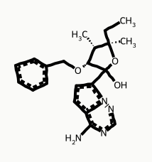 CC[C@@]1(C)OC(O)(c2ccc3c(N)ncnn23)[C@H](OCc2ccccc2)[C@@H]1C